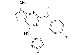 Cn1ccc2c(Nc3cc[nH]n3)nc([S@+]([O-])c3ccc(F)cc3)nc21